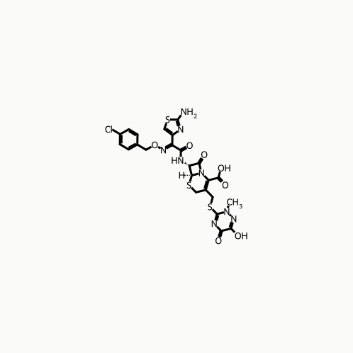 Cn1nc(O)c(=O)nc1SCC1=C(C(=O)O)N2C(=O)[C@@H](NC(=O)C(=NOCc3ccc(Cl)cc3)c3csc(N)n3)[C@@H]2SC1